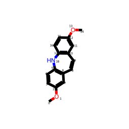 COc1ccc2c(c1)C=Cc1cc(OC)ccc1N2